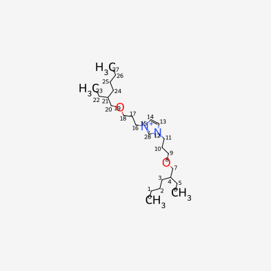 CCCCC(CC)COCCCn1cc[n+](CCCOCC(CC)CCCC)c1